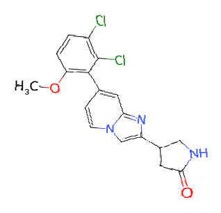 COc1ccc(Cl)c(Cl)c1-c1ccn2cc(C3CNC(=O)C3)nc2c1